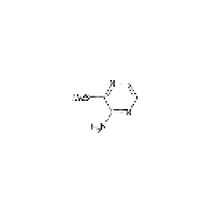 CSc1nccnc1N